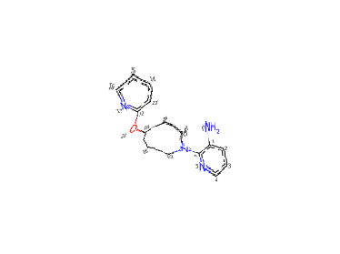 Nc1cccnc1N1CCC(Oc2ccccn2)CC1